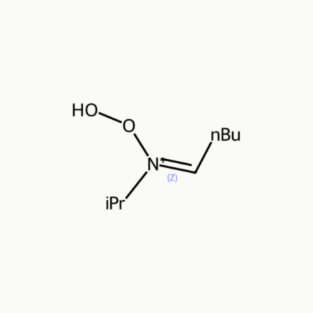 CCCC/C=[N+](\OO)C(C)C